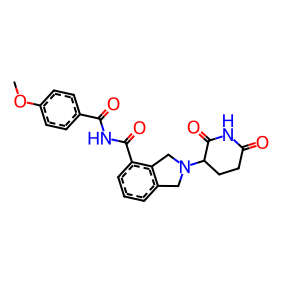 COc1ccc(C(=O)NC(=O)c2cccc3c2CN(C2CCC(=O)NC2=O)C3)cc1